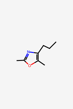 CCCc1nc(C)oc1C